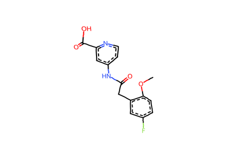 COc1ccc(F)cc1CC(=O)Nc1ccnc(C(=O)O)c1